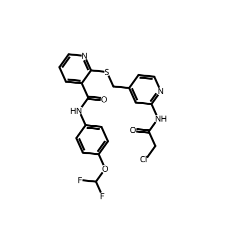 O=C(CCl)Nc1cc(CSc2ncccc2C(=O)Nc2ccc(OC(F)F)cc2)ccn1